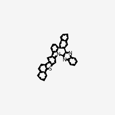 c1ccc2cc(-c3nc4ccccc4nc3-n3c4ccccc4c4cc5c(cc43)sc3c4ccccc4ccc53)ccc2c1